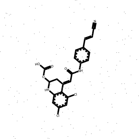 N#C/C=C/c1ccc(NC(=O)/C=C2\CC(OC(=O)O)Nc3cc(Cl)cc(Cl)c32)cc1